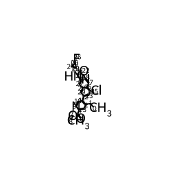 CCc1cc(C(=O)OC)ncc1-c1cc(Cl)c2cnc(NC(=O)[C@@H]3C[C@@H]3F)cc2c1